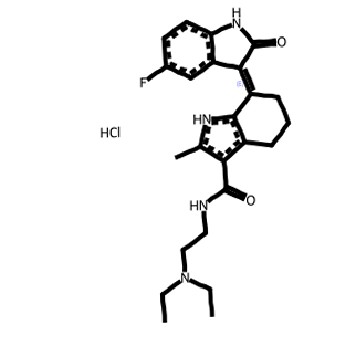 CCN(CC)CCNC(=O)c1c(C)[nH]c2c1CCC/C2=C1\C(=O)Nc2ccc(F)cc21.Cl